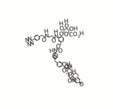 C[C@]12C=CC(=O)C=C1CC[C@@H]1[C@@H]2[C@@H](O)C[C@@]2(C)[C@H]1C[C@H]1O[C@@H](c3ccc(CC45CCC(NC(=O)OCc6ccc(O[C@@H]7O[C@H](C(=O)O)[C@@H](O)[C@H](O)[C@H]7O)c(NC(=O)CCNC(=O)Cc7ccc(-c8nncnn8)cc7)c6)(CC4)CO5)cc3)O[C@]12C(=O)CO